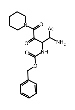 CC(=O)C(N)C(NC(=O)OCc1ccccc1)C(=O)C(=O)N1CCCCC1